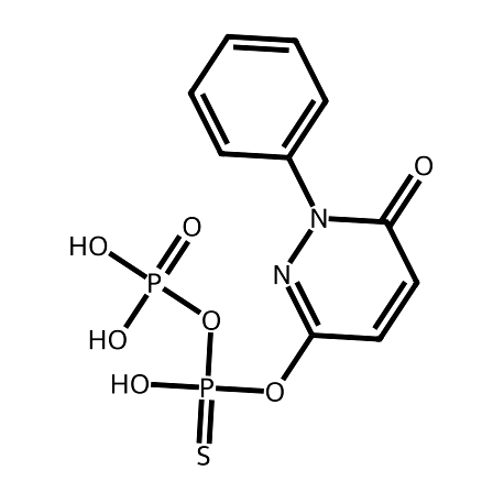 O=c1ccc(OP(O)(=S)OP(=O)(O)O)nn1-c1ccccc1